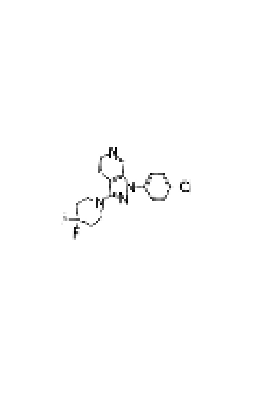 FC1(F)CCN(c2nn(-c3ccc(Cl)cc3)c3cnccc23)CC1